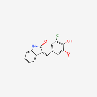 COc1cc(C=C2C(=O)Nc3ccccc32)cc(Cl)c1O